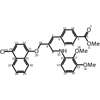 COC(=O)c1ccc(C=C(CNc2cccc(OC)c2OC)COc2ccc(Cl)c3ccccc23)cc1